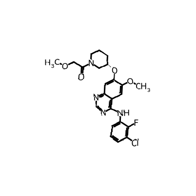 COCC(=O)N1CCC[C@H](Oc2cc3ncnc(Nc4cccc(Cl)c4F)c3cc2OC)C1